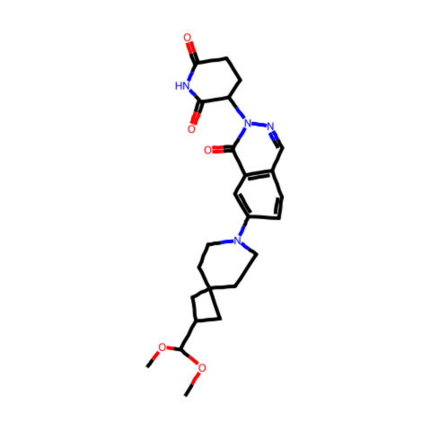 COC(OC)C1CC2(CCN(c3ccc4cnn(C5CCC(=O)NC5=O)c(=O)c4c3)CC2)C1